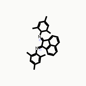 CC1=CC(C)C(/N=C2/C(=N/c3c(C)cc(C)cc3C)c3cccc4cccc2c34)C(C)=C1